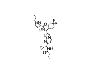 CCCC(=O)N[C@@H](c1ccn2cc([C@@H](NC(=O)c3ccn(CCC)n3)C3CCC(F)(F)CC3)nc2n1)C1CC1